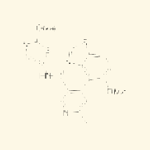 COc1nnc(NC(=O)c2cnc(C)cc2-c2c(OC)ccc3scnc23)s1